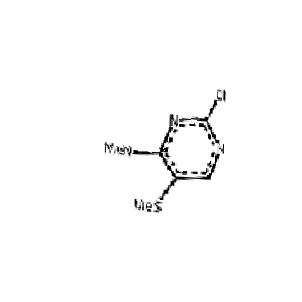 CNc1nc(Cl)ncc1SC